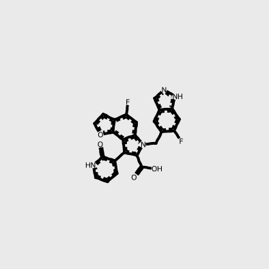 O=C(O)c1c(-c2ccc[nH]c2=O)c2c3occc3c(F)cc2n1Cc1cc2cn[nH]c2cc1F